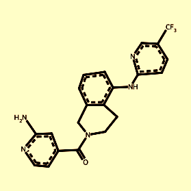 Nc1cc(C(=O)N2CCc3c(cccc3Nc3ccc(C(F)(F)F)cn3)C2)ccn1